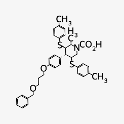 Cc1ccc(S[C@@H]2CN(C(=O)O)C(C)[C@H](Sc3ccc(C)cc3)[C@H]2c2ccc(OCCCOCc3ccccc3)cc2)cc1